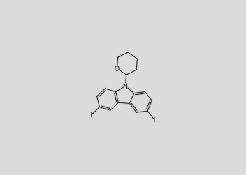 Ic1ccc2c(c1)c1cc(I)ccc1n2C1CCCCO1